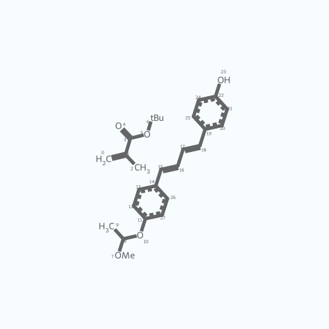 C=C(C)C(=O)OC(C)(C)C.COC(C)Oc1ccc(C=CC=Cc2ccc(O)cc2)cc1